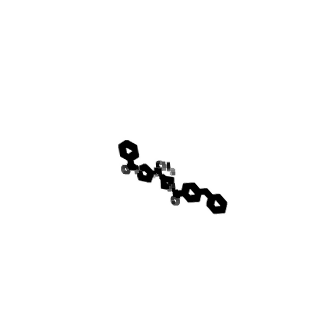 CN(C1CN(C(=O)c2ccc(Cc3ccccc3)cc2)C1)[C@H]1CCN(C(=O)c2ccccc2)C1